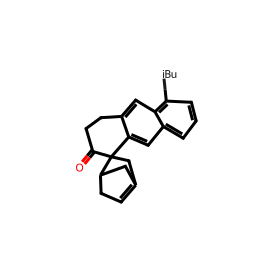 CCC(C)c1cccc2cc3c(cc12)CCC(=O)C31CC2=CCC1C2